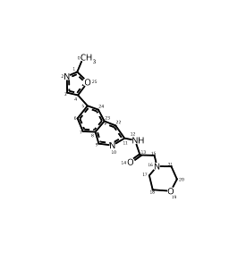 Cc1ncc(-c2ccc3cnc(NC(=O)CN4CCOCC4)cc3c2)o1